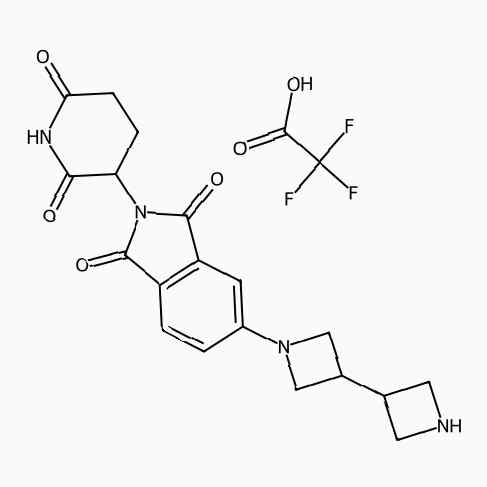 O=C(O)C(F)(F)F.O=C1CCC(N2C(=O)c3ccc(N4CC(C5CNC5)C4)cc3C2=O)C(=O)N1